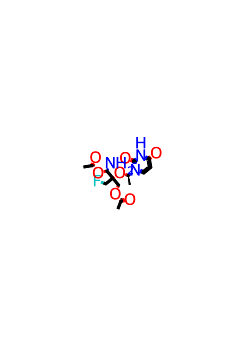 CC(=O)OCC(CF)(O[C@H](C)n1ccc(=O)[nH]c1=O)[C@H](N)OC(C)=O